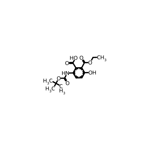 CCOC(=O)c1c(O)ccc(NC(=O)OC(C)(C)C)c1C(=O)O